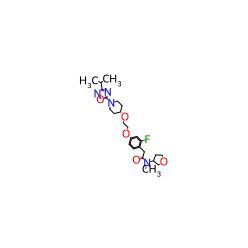 CC(C)c1noc(N2CCC(OCCOc3ccc(CC(=O)N(C)C4CCOC4)c(F)c3)CC2)n1